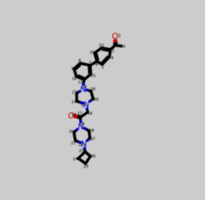 CC(=O)c1ccc(-c2cccc(N3CCN(CC(=O)N4CCN(C5CCC5)CC4)CC3)c2)cc1